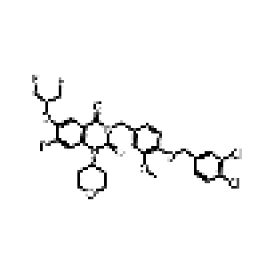 COc1cc(Cn2c(=O)c3cc(OC(CF)CF)c(F)cc3n(C3CCOCC3)c2=O)ccc1OCc1ccc(Cl)c(Cl)c1